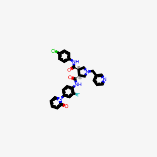 O=C(Nc1ccc(Cl)cc1)[C@H]1CN(Cc2cccnc2)C[C@@H]1C(=O)Nc1ccc(-n2ccccc2=O)cc1F